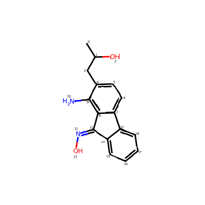 CC(O)Cc1ccc2c(c1N)/C(=N/O)c1ccccc1-2